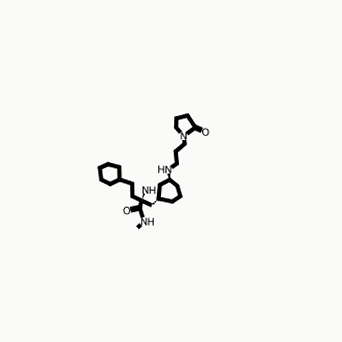 CNC(=O)[C@@](N)(CCC1CCCCC1)C[C@H]1CCC[C@H](NCCCN2CCCC2=O)C1